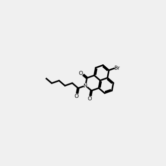 CCCCCC(=O)N1C(=O)c2cccc3c(Br)ccc(c23)C1=O